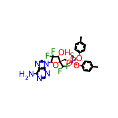 Cc1ccc(OP(=S)(OC[C@@]2(C(F)F)O[C@@H](n3cnc4c(N)ncnc43)C(F)(F)[C@@H]2O)Oc2ccc(C)cc2)cc1